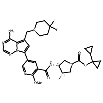 COc1ncc(-c2cc(CN3CCC(F)(F)CC3)c3c(N)ncnn23)cc1C(=O)N[C@@H]1CN(C(=O)OC2(C3CC3)CC2)C[C@@H]1F